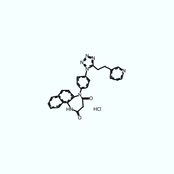 Cl.O=C1CC(=O)N(c2ccc(-n3nnnc3CCc3cccnc3)cc2)c2ccc3ccccc3c2N1